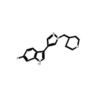 Fc1ccc2c(-c3cnn(CC4CCOCC4)c3)c[nH]c2c1